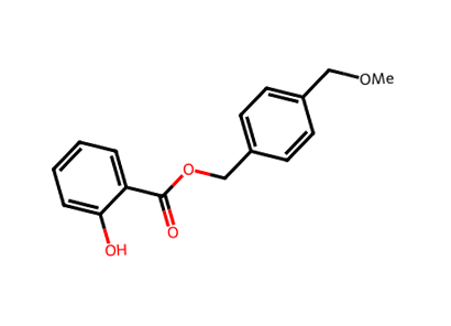 COCc1ccc(COC(=O)c2ccccc2O)cc1